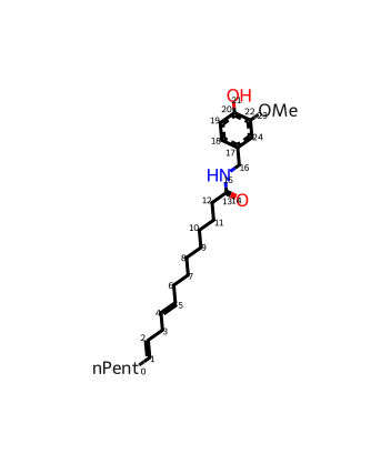 CCCCCC=CCC=CCCCCCCCC(=O)NCc1ccc(O)c(OC)c1